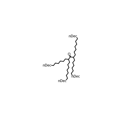 CCCCCCCCCCCCCCCCCC(CCCCCCCCCCCCCCCC)C(=O)C(CCCCCCCCCCCCCCCC)CCCCCCCCCCCCCCCCC